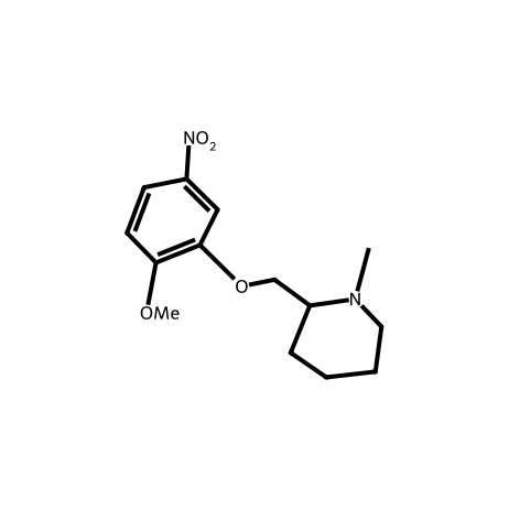 COc1ccc([N+](=O)[O-])cc1OCC1CCCCN1C